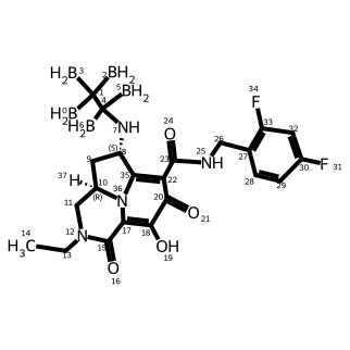 BC(B)(B)C(B)(B)N[C@H]1C[C@@H]2CN(CC)C(=O)c3c(O)c(=O)c(C(=O)NCc4ccc(F)cc4F)c1n32